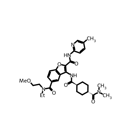 CCN(CCOC)C(=O)c1ccc2oc(C(=O)Nc3ccc(C)cn3)c(NC(=O)[C@H]3CC[C@H](C(=O)N(C)C)CC3)c2c1